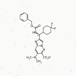 CN(C)c1cc2nc([C@@H](NC(=O)OCc3ccccc3)C3CCC(F)(F)CC3)cn2nc1C(=O)O